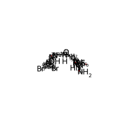 CCCSc1nc(NCCN)c2nnn(Cc3ccc(C#CC(=O)NCCCCCN4CCN(CC(O)Cn5c6ccc(Br)cc6c6cc(Br)ccc65)CC4)cc3)c2n1